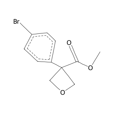 COC(=O)C1(c2ccc(Br)cc2)COC1